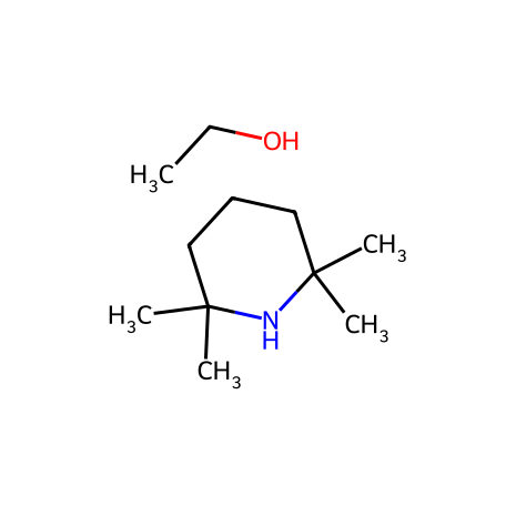 CC1(C)CCCC(C)(C)N1.CCO